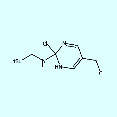 CC(C)(C)CNC1(Cl)N=CC(CCl)=CN1